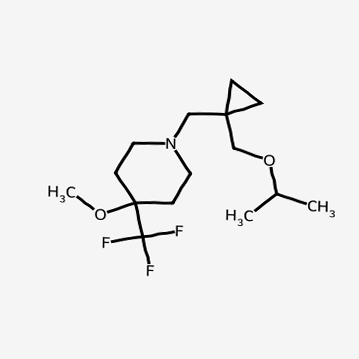 COC1(C(F)(F)F)CCN(CC2(COC(C)C)CC2)CC1